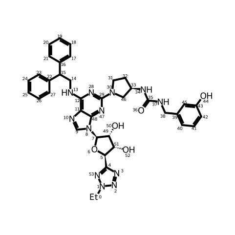 CCn1nnc([C@H]2O[C@@H](n3cnc4c(NCC(c5ccccc5)c5ccccc5)nc(N5CC[C@@H](NC(=O)NCc6cccc(O)c6)C5)nc43)[C@H](O)[C@@H]2O)n1